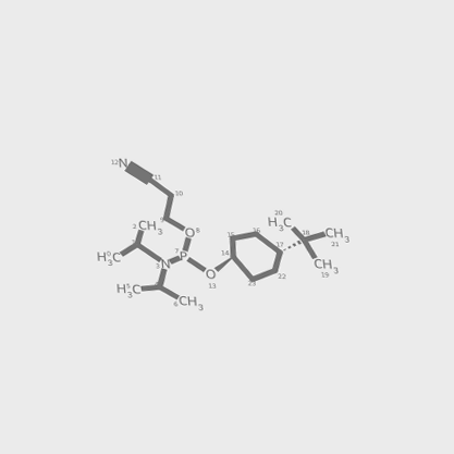 CC(C)N(C(C)C)P(OCCC#N)O[C@H]1CC[C@H](C(C)(C)C)CC1